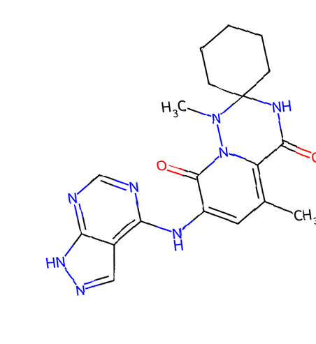 Cc1cc(Nc2ncnc3[nH]ncc23)c(=O)n2c1C(=O)NC1(CCCCC1)N2C